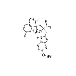 Cc1ccc(F)cc1C(C)(CF)CC(O)(Cc1cc2nc(OC(C)C)ccc2[nH]1)C(F)F